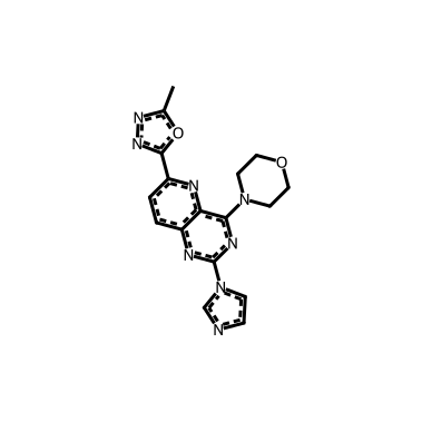 Cc1nnc(-c2ccc3nc(-n4ccnc4)nc(N4CCOCC4)c3n2)o1